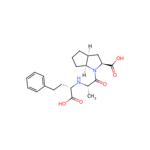 C[C@H](N[C@@H](CCc1ccccc1)C(=O)O)C(=O)N1[C@H](C(=O)O)C[C@@H]2CCC[C@@H]21